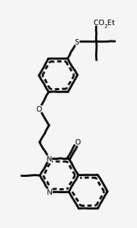 CCOC(=O)C(C)(C)Sc1ccc(OCCn2c(C)nc3ccccc3c2=O)cc1